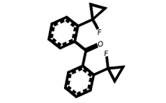 O=C(c1ccccc1C1(F)CC1)c1ccccc1C1(F)CC1